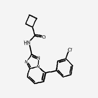 O=C(Nc1nc2cccc(-c3cccc(Cl)c3)n2n1)C1CCC1